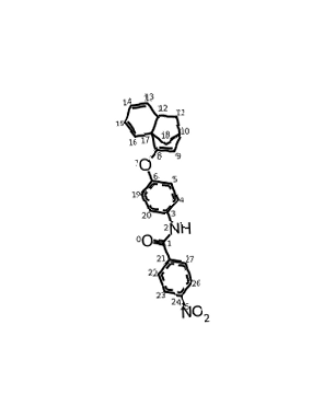 O=C(Nc1ccc(OC2=CC3CC4C=CC=CC24C3)cc1)c1ccc([N+](=O)[O-])cc1